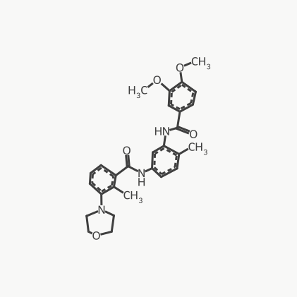 COc1ccc(C(=O)Nc2cc(NC(=O)c3cccc(N4CCOCC4)c3C)ccc2C)cc1OC